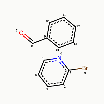 Brc1ccccn1.O=Cc1ccccc1